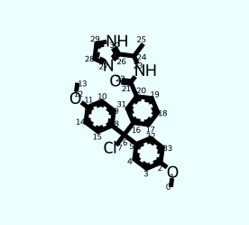 COc1ccc(C(Cl)(c2ccc(OC)cc2)c2cccc(C(=O)NC(C)c3ncc[nH]3)c2)cc1